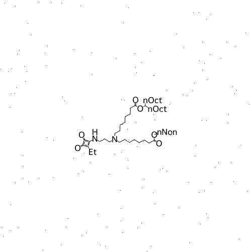 CCCCCCCCCOC(=O)CCCCCCCN(CCCCCCCC(=O)OC(CCCCCCCC)CCCCCCCC)CCCNc1c(CC)c(=O)c1=O